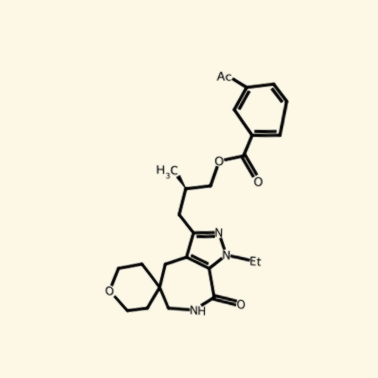 CCn1nc(C[C@@H](C)COC(=O)c2cccc(C(C)=O)c2)c2c1C(=O)NCC1(CCOCC1)C2